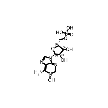 NC1=c2ncn([C@@H]3O[C@H](COP(=O)(O)O)[C@@H](O)[C@H]3O)c2=NCN1O